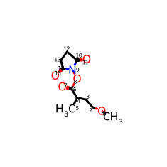 COCCC(C)C(=O)ON1C(=O)CCC1=O